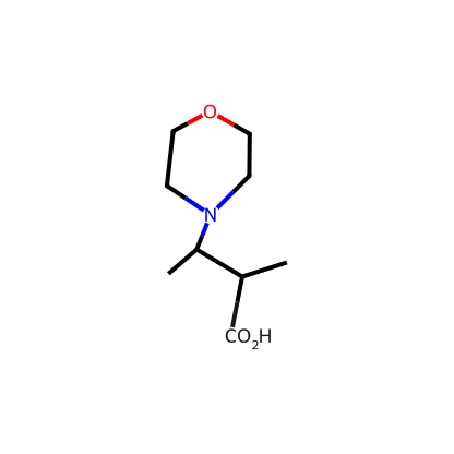 CC(C(=O)O)C(C)N1CCOCC1